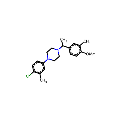 COc1ccc(C(C)N2CCN(c3ccc(Cl)c(C)c3)CC2)cc1C